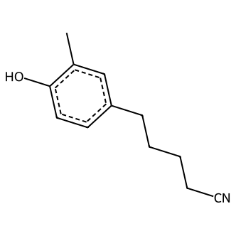 Cc1cc(CCCCC#N)ccc1O